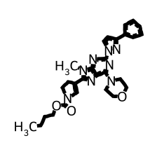 CCCCOC(=O)N1C=C(c2nc3c(N4CCOCC4)nc(-n4ccc(-c5ccccc5)n4)nc3n2C)CC1